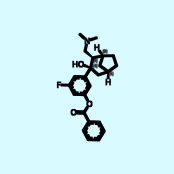 CN(C)C[C@H]1[C@@H]2CC[C@@H](C2)C[C@]1(O)c1cc(F)cc(OC(=O)c2ccccc2)c1